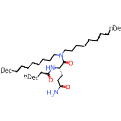 CCCCCCCCCCCCCCCCCCN(CCCCCCCCCCCCCCCCCC)C(=O)[C@H](CCC(N)=O)NC(=O)CCCCCCCCCCC